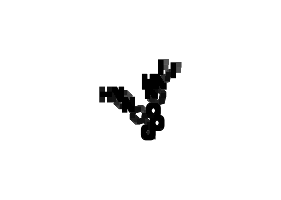 COC(=O)c1ccc(N2CCNCC2)cc1Oc1ccc(NCC(F)F)nc1